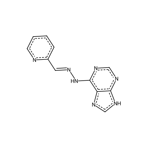 C(=NNc1ncnc2[nH]cnc12)c1ccccn1